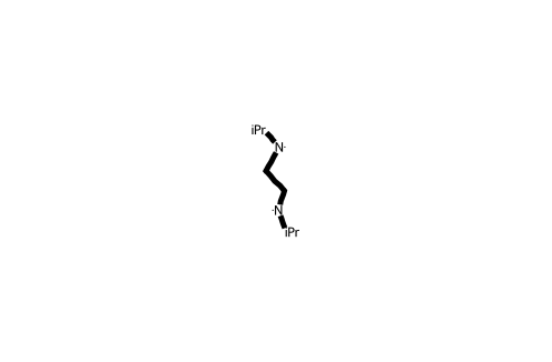 CC(C)[N]CC[N]C(C)C